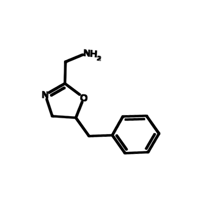 NCC1=NCC(Cc2ccccc2)O1